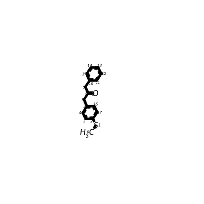 CSc1ccc(CC(=O)Cc2ccccc2)cc1